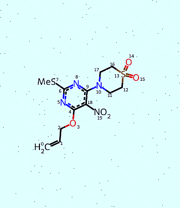 C=CCOc1nc(SC)nc(N2CCS(=O)(=O)CC2)c1[N+](=O)[O-]